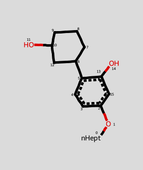 CCCCCCCOc1ccc(C2CCCC(O)C2)c(O)c1